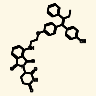 CCC(=C(c1ccc(O)cc1)c1ccc(OCCNc2cccc3c2C(=O)N(C2CCC(=O)NC2=O)C3=O)cc1)c1ccccc1